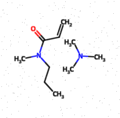 C=CC(=O)N(C)CCC.CN(C)C